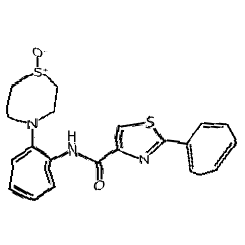 O=C(Nc1ccccc1N1CC[S+]([O-])CC1)c1csc(-c2ccccc2)n1